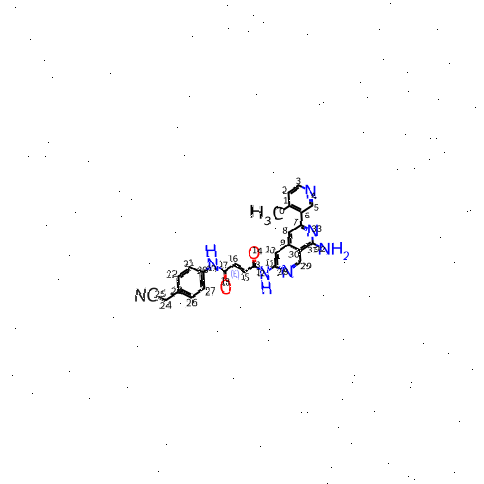 Cc1ccncc1-c1cc2cc(NC(=O)/C=C/C(=O)Nc3ccc(CC#N)cc3)ncc2c(N)n1